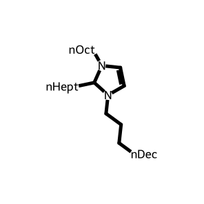 CCCCCCCCCCCCCN1C=CN(CCCCCCCC)C1CCCCCCC